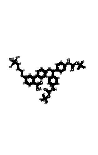 CC(C)(C)OC(=O)Nc1ccc(C(Cc2ccc(-c3cc(OCCCC(F)(F)F)ccc3C(=O)O)cc2)c2ccc(NC(=O)OC(C)(C)C)cc2)cc1